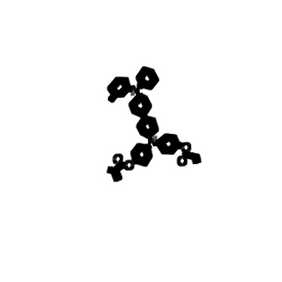 C=CC(=O)Oc1ccc(N(c2ccc(OC(=O)C(=C)C)cc2)c2ccc(-c3ccc(N(c4ccccc4)c4cccc(C)c4)cc3)cc2)cc1